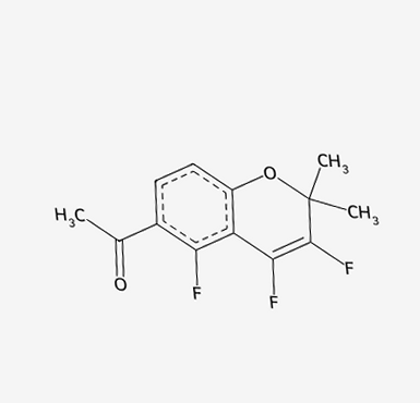 CC(=O)c1ccc2c(c1F)C(F)=C(F)C(C)(C)O2